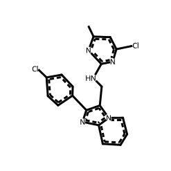 Cc1cc(Cl)nc(NCc2c(-c3ccc(Cl)cc3)nc3ccccn23)n1